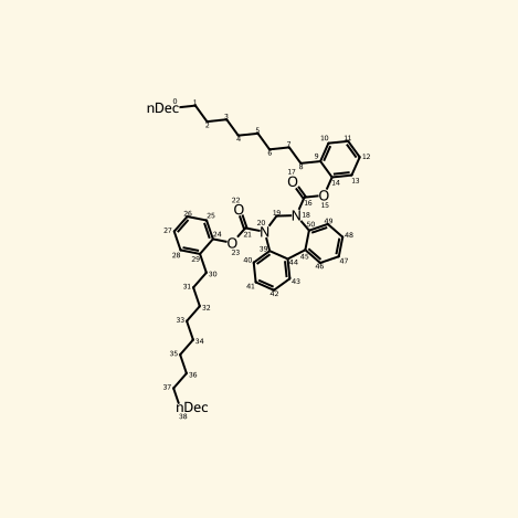 CCCCCCCCCCCCCCCCCCc1ccccc1OC(=O)N1CN(C(=O)Oc2ccccc2CCCCCCCCCCCCCCCCCC)c2ccccc2-c2ccccc21